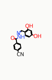 N#Cc1ccc(C(=O)N/N=C\c2ccc(O)cc2O)cc1